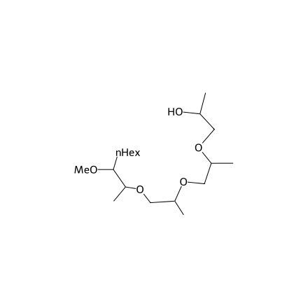 CCCCCCC(OC)C(C)OCC(C)OCC(C)OCC(C)O